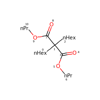 CCCCCCC(CCCCCC)(C(=O)OCCC)C(=O)OCCC